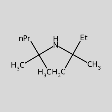 CCCC(C)(C)NC(C)(C)CC